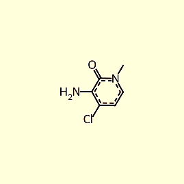 Cn1ccc(Cl)c(N)c1=O